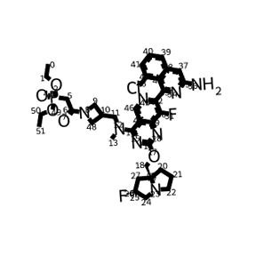 CCOP(=O)(CC(=O)N1CC(CN(C)c2nc(OC[C@@]34CCCN3C[C@H](F)C4)nc3c(F)c(-c4nc(N)cc5cccc(Cl)c45)ncc23)C1)OCC